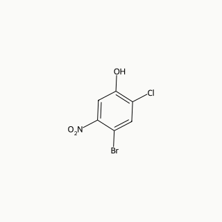 O=[N+]([O-])c1cc(O)c(Cl)cc1Br